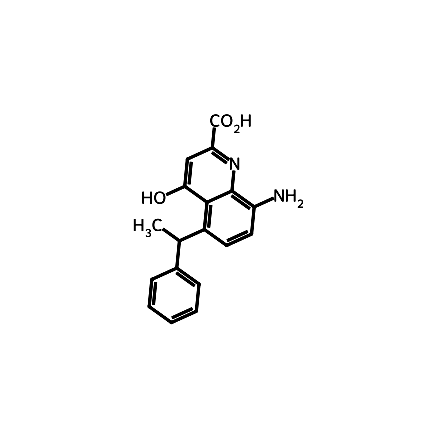 CC(c1ccccc1)c1ccc(N)c2nc(C(=O)O)cc(O)c12